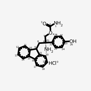 Cl.NC(=O)OC[C@](N)(CC1c2ccccc2-c2ccccc21)c1ccc(O)cc1